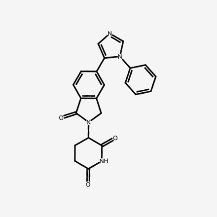 O=C1CCC(N2Cc3cc(-c4cncn4-c4ccccc4)ccc3C2=O)C(=O)N1